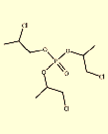 CC(Cl)COP(=O)(OC(C)CCl)OC(C)CCl